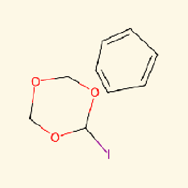 IC1OCOCO1.c1ccccc1